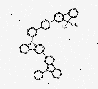 CC1(C)c2ccccc2-c2ccc(-c3ccc(-c4cccc(-n5c6ccccc6c6cc(-c7ccc8c9ccccc9n(-c9ccccc9)c8c7)ccc65)c4)cc3)cc21